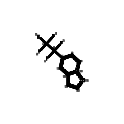 FC(F)(F)C(F)(F)c1ccc2o[c]cc2c1